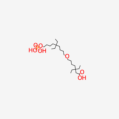 CCC(CC)(CCCCOCCCCC(CC)(CC)CC(=O)O)CCCCOP(=O)(O)O